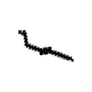 CCCCCCCC/C=C\CCCCCCCCOC(=O)c1ccc(C(=O)OCCCCCCCCCCCC)cc1